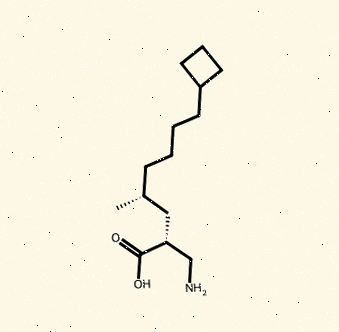 C[C@H](CCCCC1CCC1)C[C@H](CN)C(=O)O